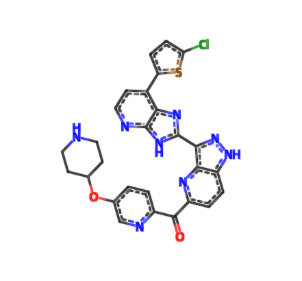 O=C(c1ccc(OC2CCNCC2)cn1)c1ccc2[nH]nc(-c3nc4c(-c5ccc(Cl)s5)ccnc4[nH]3)c2n1